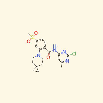 Cc1cc(NC(=O)c2ccc(S(C)(=O)=O)cc2N2CCC3(CC2)CC3)nc(Cl)n1